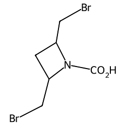 O=C(O)N1C(CBr)CC1CBr